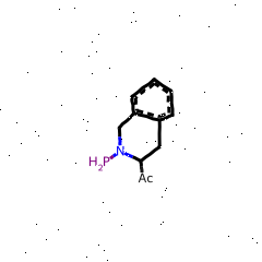 CC(=O)C1Cc2ccccc2CN1P